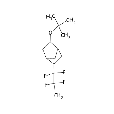 CC(C)(C)OC1CC2CC1CC2C(F)(F)C(C)(F)F